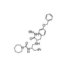 CC(C)CC(CNC(Cc1ccc(OCc2ccccc2)cc1)C(=O)NC(C)(C)C)NC(=O)N1CCCCCC1